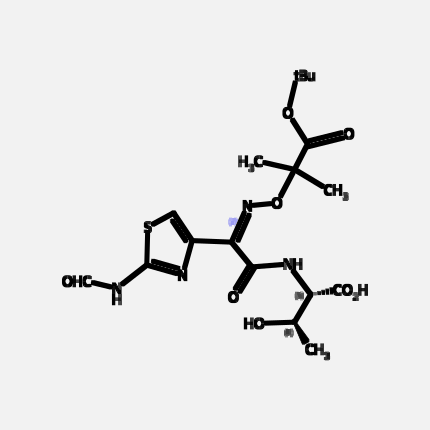 C[C@@H](O)[C@H](NC(=O)/C(=N\OC(C)(C)C(=O)OC(C)(C)C)c1csc(NC=O)n1)C(=O)O